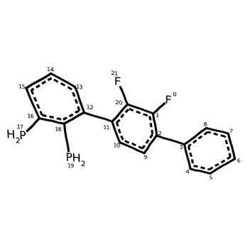 Fc1c(-c2ccccc2)ccc(-c2cccc(P)c2P)c1F